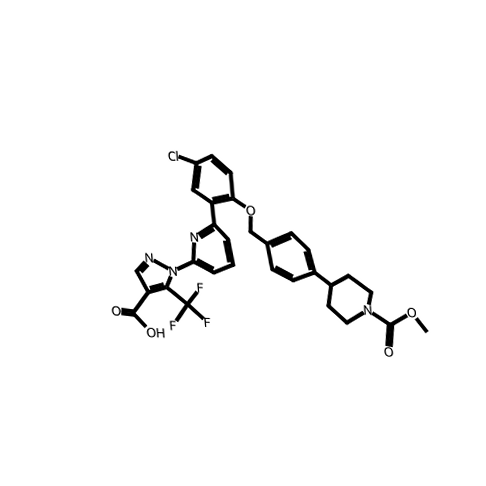 COC(=O)N1CCC(c2ccc(COc3ccc(Cl)cc3-c3cccc(-n4ncc(C(=O)O)c4C(F)(F)F)n3)cc2)CC1